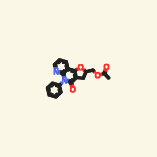 CC(=O)OCC1Cc2c(c3cccnc3n(-c3ccccc3)c2=O)O1